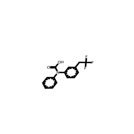 O=C(O)N(c1ccccc1)c1cccc(CC(F)(F)F)c1